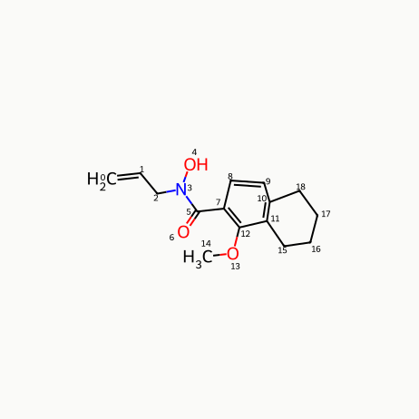 C=CCN(O)C(=O)c1ccc2c(c1OC)CCCC2